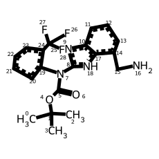 CC(C)(C)OC(=O)N(c1nc2cccc(CN)c2[nH]1)c1ccccc1C(F)(F)F